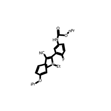 CCCOC(=O)Nc1ccc(F)c(-c2c(C#N)c3ccc(OC(C)C)cc3n2CC)c1